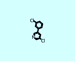 Clc1cccc(-c2cncc(Cl)c2)c1